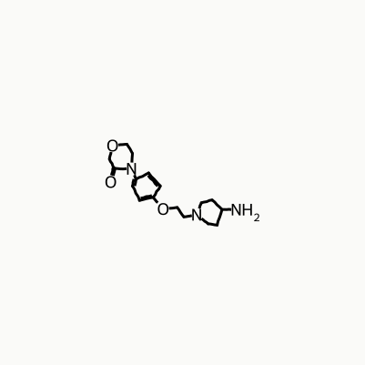 NC1CCN(CCOc2ccc(N3CCOCC3=O)cc2)CC1